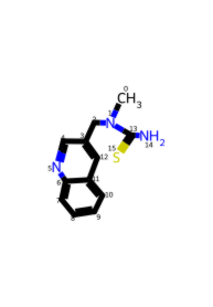 CN(Cc1cnc2ccccc2c1)C(N)=S